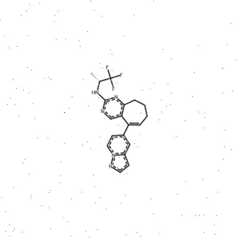 C[C@@H](Nc1ncc2c(n1)CCCC=C2c1ccn2nccc2c1)C(F)(F)F